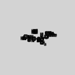 COc1ccc(C2CC(C(F)(F)F)n3nc(-c4ccc(C(=O)N[C@@H]5CCCNC5)nc4)cc3N2)cc1OC.Cl.Cl